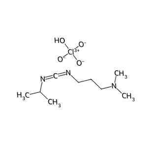 CC(C)N=C=NCCCN(C)C.[O-][Cl+3]([O-])([O-])O